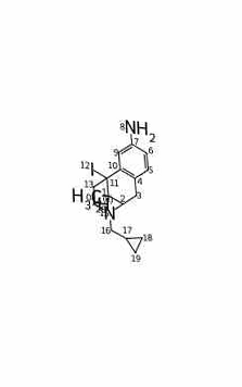 C[C@@H]1C2Cc3ccc(N)cc3C1(I)CCN2CC1CC1